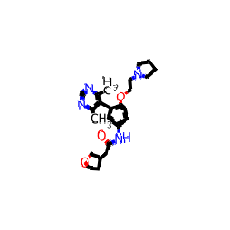 Cc1ncnc(C)c1-c1cc(NC(=O)CC2CCOC2)ccc1OCCN1CCCC1